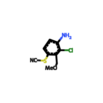 COCc1c(SC#N)ccc(N)c1Cl